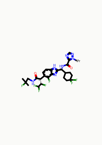 CC(C)n1ncnc1C(=O)N[C@H](c1nc2c(F)c([C@@H](C(=O)NCC(C)(C)F)C(F)C(F)F)ccc2[nH]1)C1CCC(F)(F)CC1